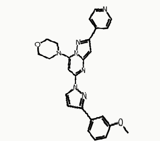 COc1cccc(-c2ccn(-c3cc(N4CCOCC4)n4nc(-c5ccncc5)cc4n3)n2)c1